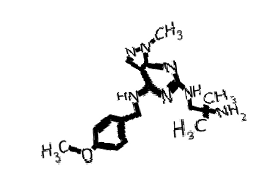 COc1ccc(CNc2nc(NCC(C)(C)N)nc3c2cnn3C)cc1